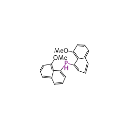 COc1cccc2cccc(Pc3cccc4cccc(OC)c34)c12